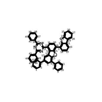 c1ccc(-c2cc(-c3ccccc3)c3oc4c(-c5cccc6c5sc5ccccc56)ccc(-c5nc(-c6ccccc6)nc(-c6ccccc6)n5)c4c3c2)cc1